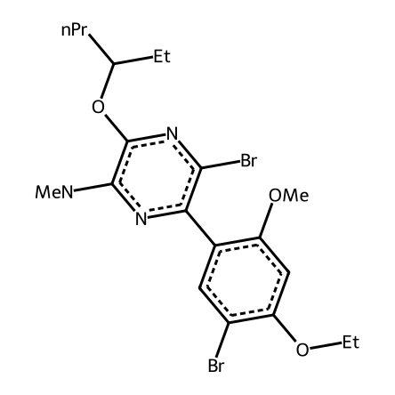 CCCC(CC)Oc1nc(Br)c(-c2cc(Br)c(OCC)cc2OC)nc1NC